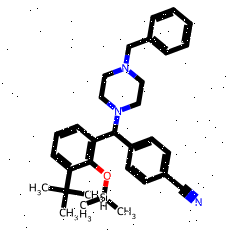 C[SiH](C)Oc1c(C(c2ccc(C#N)cc2)N2CCN(Cc3ccccc3)CC2)cccc1C(C)(C)C